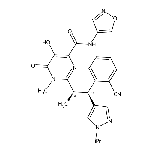 CC(C)n1cc([C@H](c2ccccc2C#N)[C@@H](C)c2nc(C(=O)Nc3cnoc3)c(O)c(=O)n2C)cn1